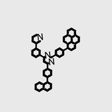 c1cncc(-c2cccc(-c3cc(-c4ccc(-c5cccc6ccccc56)cc4)nc(-c4ccc(-c5ccc6ccc7cccc8ccc5c6c78)cc4)n3)c2)c1